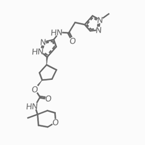 Cn1cc(CC(=O)Nc2cc([C@H]3CC[C@@H](OC(=O)NC4(C)CCOCC4)C3)[nH]n2)cn1